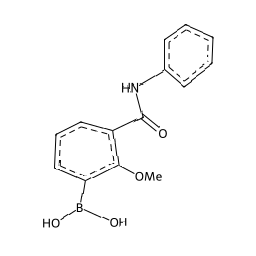 COc1c(B(O)O)cccc1C(=O)Nc1ccccc1